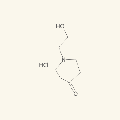 Cl.O=C1CCN(CCO)CC1